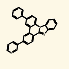 c1ccc(-c2ccc3c(c2)c2cc(-c4cccnc4)ccc2c2nc4ccccc4n32)cc1